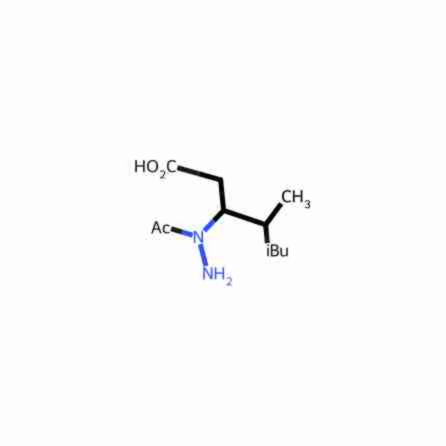 CCC(C)C(C)C(CC(=O)O)N(N)C(C)=O